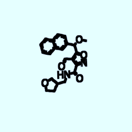 COC(c1ccc2ccccc2c1)c1onc(C(=O)NCC2CCOC2)c1C=O